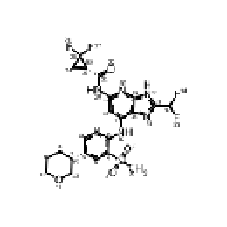 CS(=O)(=O)c1cc([C@H]2CCCOC2)ccc1Nc1cc(NC(=O)[C@@H]2CC2(F)F)nc2[nH]c(C(F)F)nc12